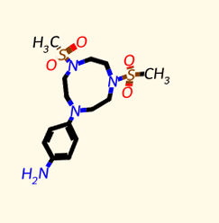 CS(=O)(=O)N1CCN(c2ccc(N)cc2)CCN(S(C)(=O)=O)CC1